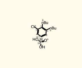 CCCCc1cccc(Cl)c1CCCC.O=[PH](O)O